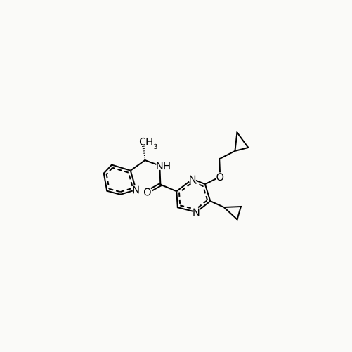 C[C@H](NC(=O)c1cnc(C2CC2)c(OCC2CC2)n1)c1ccccn1